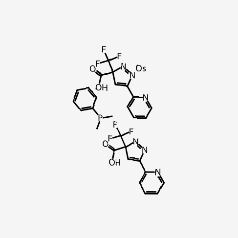 CP(C)c1ccccc1.O=C(O)C1(C(F)(F)F)C=C(c2ccccn2)N=N1.O=C(O)C1(C(F)(F)F)C=C(c2ccccn2)N=N1.[Os]